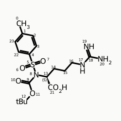 Cc1ccc(S(=O)(=O)N(C(=O)OC(C)(C)C)[C@@H](CCCNC(=N)N)C(=O)O)cc1